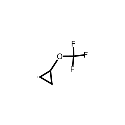 FC(F)(F)OC1[CH]C1